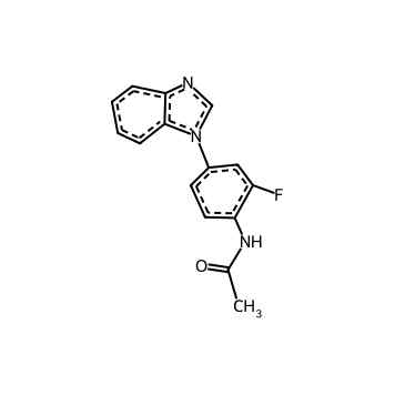 CC(=O)Nc1ccc(-n2cnc3ccccc32)cc1F